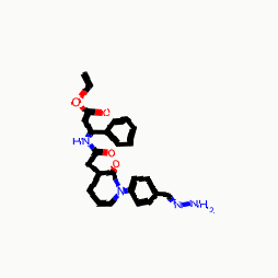 CCOC(=O)CC(NC(=O)CC1CCCN(c2ccc(C=NN)cc2)C1=O)c1ccccc1